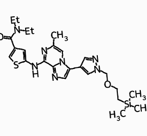 CCN(CC)C(=O)c1csc(Nc2nc(C)cn3c(-c4cnn(COCC[Si](C)(C)C)c4)cnc23)c1